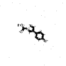 O=C(O)n1cc(-c2ccc(Br)cc2)cn1